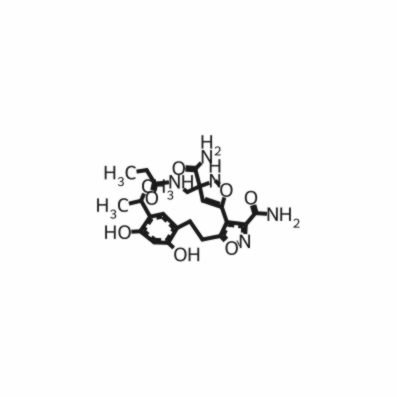 CCC(=O)NCC1(C(N)=O)C=C(c2c(C(N)=O)noc2CCc2cc(C(C)C)c(O)cc2O)ON1